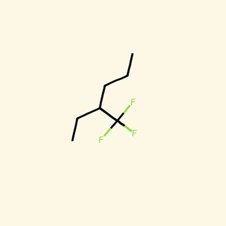 CCCC(CC)C(F)(F)F